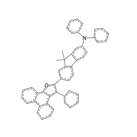 CC1(C)c2cc(-c3oc4c5ccccc5c5ccccc5c4c3-c3ccccc3)ccc2-c2ccc(N(c3ccccc3)c3ccccc3)cc21